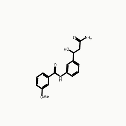 COc1cccc(C(=O)Nc2cccc(C(O)CC(N)=O)c2)c1